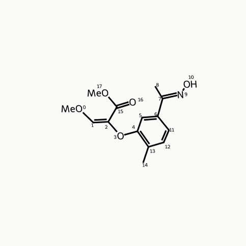 COC=C(Oc1cc(/C(C)=N/O)ccc1C)C(=O)OC